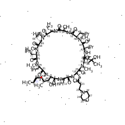 C/C=C/C[C@@H](C)[C@@H](O)[C@H]1C(=O)N[C@H](CCC)C(=O)N(C)[C@H](SCCCN2CCOCC2)C(=O)N(C)[C@@H](CC(C)(C)O)C(=O)N[C@H](C(C)C)C(=O)N(C)[C@H](CC(C)C)C(=O)N[C@H](C)C(=O)N[C@@H](C)C(=O)N(C)[C@@H](CC(C)C)C(=O)N(C)[C@H](CC(C)C)C(=O)N(C)[C@H](C(C)C)C(=O)N1C